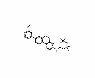 COc1cc(-c2ccc3c(c2)COc2nc(N(C)C4CC(C)(C)NC(C)(C)C4)ccc2-3)cnn1